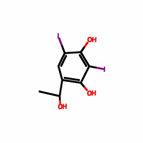 CC(O)c1cc(I)c(O)c(I)c1O